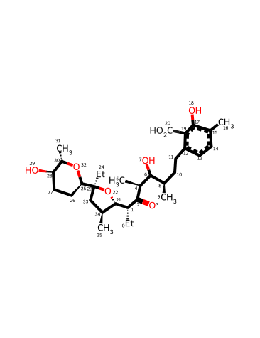 CC[C@@H](C(=O)[C@@H](C)C(O)[C@H](C)CCc1ccc(C)c(O)c1C(=O)O)[C@H]1O[C@](CC)([C@H]2CC[C@@H](O)[C@H](C)O2)C[C@@H]1C